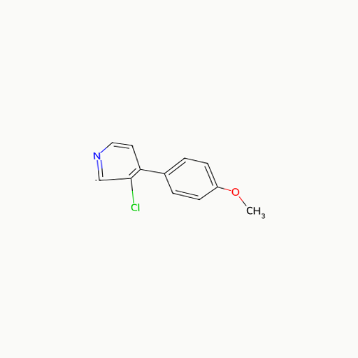 COc1ccc(-c2ccn[c]c2Cl)cc1